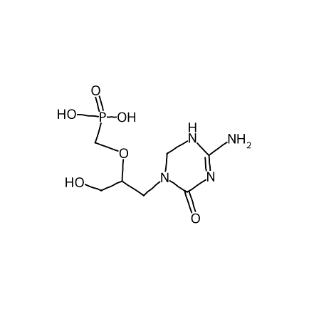 NC1=NC(=O)N(CC(CO)OCP(=O)(O)O)CN1